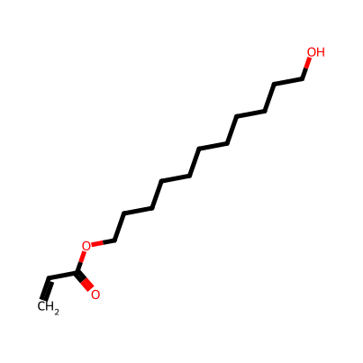 C=CC(=O)OCCCCCCCCCCCO